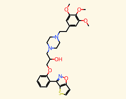 COc1cc(CCN2CCN(CC(O)COc3ccccc3-c3noc4ccsc34)CC2)cc(OC)c1OC